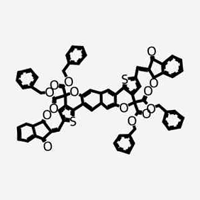 O=C1C2=CC=CCC2C(=O)/C1=C\c1cc2c(s1)C1=CC3C=C4OC(C(=O)OCc5ccccc5)(C(=O)OCc5ccccc5)c5cc(C=C6C(=O)c7ccccc7C6=O)sc5C4=CC3C=C1OC2(C(=O)OCc1ccccc1)C(=O)OCc1ccccc1